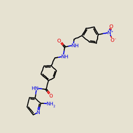 Nc1ncccc1NC(=O)c1ccc(CNC(=O)NCc2ccc([N+](=O)[O-])cc2)cc1